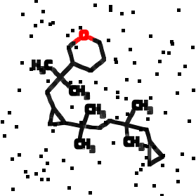 CC(C)(CCC(C)(C)C1CC1CC(C)(C)C1CCCOC1)CC1CC1